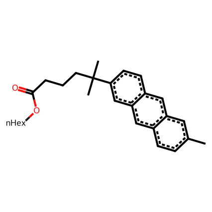 CCCCCCOC(=O)CCCC(C)(C)c1ccc2cc3cc(C)ccc3cc2c1